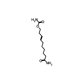 NC(=O)CCCCCC=CCCOC(N)=O